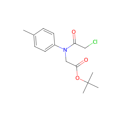 Cc1ccc(N(CC(=O)OC(C)(C)C)C(=O)CCl)cc1